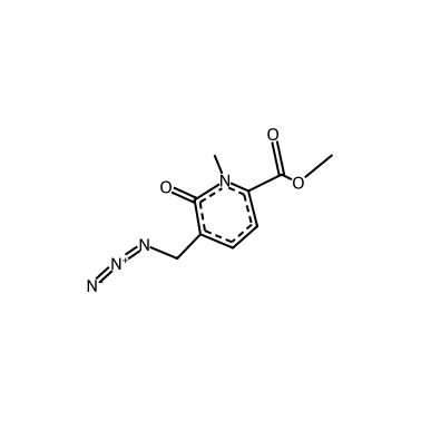 COC(=O)c1ccc(CN=[N+]=[N-])c(=O)n1C